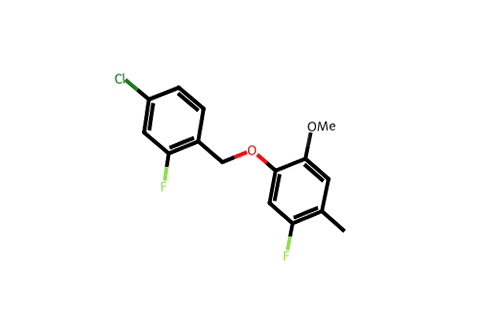 COc1cc(C)c(F)cc1OCc1ccc(Cl)cc1F